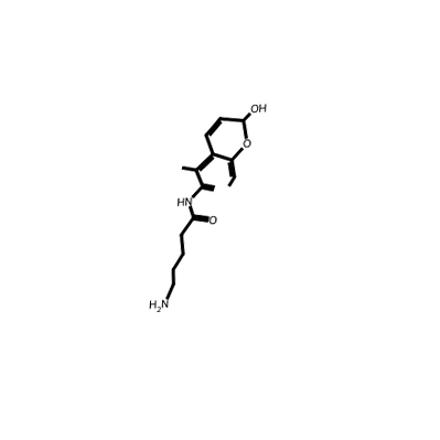 C=C(NC(=O)CCCCN)/C(C)=C1/C=CC(O)O/C1=C/C